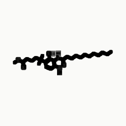 CCCCCCCCCCCC(=O)Nc1c(O)ccc(C(C)(C)CCCC(=O)OC)c1O